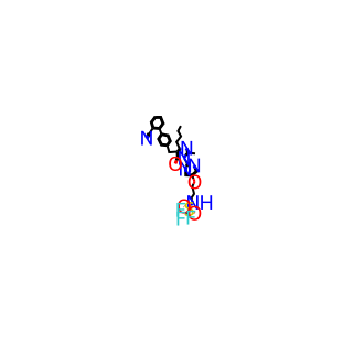 CCCCc1nc(C)n(-c2ncc(OCCCNS(=O)(=O)C(F)(F)F)cn2)c(=O)c1Cc1ccc(-c2ccccc2C#N)cc1